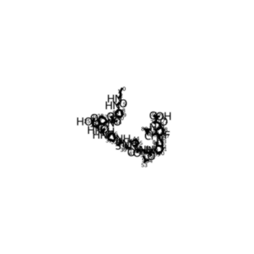 CCCNC(=O)Nc1cccc(S(=O)(=O)Nc2cccc(C(CC(=O)O)NC(=O)Nc3ccc(NC(=S)N[C@@H](C)C(=O)N4CCC[C@H]4C(=O)N[C@@H](CC(C)C)C(=O)NC4C=CCC5CN(c6c(F)cc7c(=O)c(C(=O)O)cn(C8CC8)c7c6Cl)CC54)cc3)c2)c1